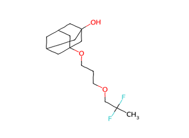 CC(F)(F)COCCCOC12CC3CC(CC(O)(C3)C1)C2